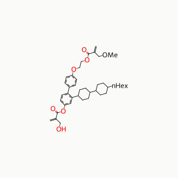 C=C(COC)C(=O)OCCOc1ccc(-c2ccc(OC(=O)C(=C)CO)cc2C2CCC(C3CCC(CCCCCC)CC3)CC2)cc1